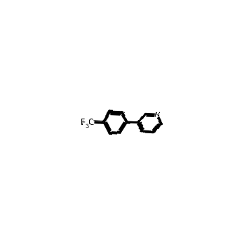 FC(F)(F)c1c[c]c(-c2cccnc2)cc1